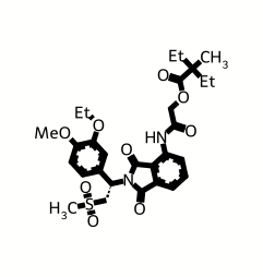 CCOc1cc([C@@H](CS(C)(=O)=O)N2C(=O)c3cccc(NC(=O)COC(=O)C(C)(CC)CC)c3C2=O)ccc1OC